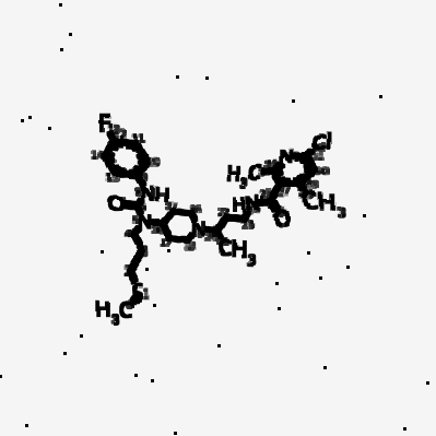 CSCCCN(C(=O)Nc1ccc(F)cc1)C1CCN([C@H](C)CCNC(=O)c2c(C)cc(Cl)nc2C)CC1